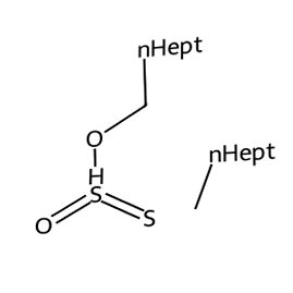 CCCCCCCC.CCCCCCCCO[SH](=O)=S